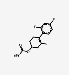 CCCC(=O)OC1CCC(c2ccc(F)cc2F)=C(C)C1